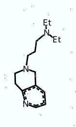 CCN(CC)CCCN1CCc2ncccc2C1